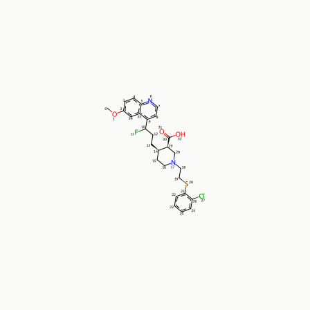 COc1ccc2nccc(C(F)CC[C@@H]3CCN(CCSc4ccccc4Cl)C[C@@H]3C(=O)O)c2c1